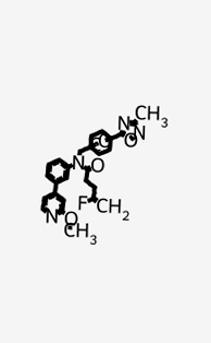 C=C(F)CCC(=O)N(CC12CCC(c3nc(C)no3)(CC1)OC2)c1cccc(-c2ccnc(OC)c2)c1